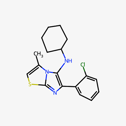 Cc1csc2nc(-c3ccccc3Cl)c(NC3CCCCC3)n12